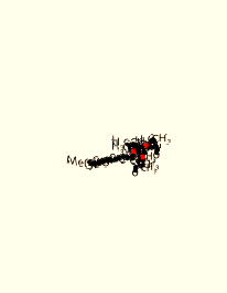 COCCOCCOCCOCCOCCOC(=O)NC1CC(C)(C)CC(C)(CC2C(=O)N(CC3(C)CC(N=C=O)CC(C)(C)C3)C(=O)N(CC3(C)CC(N=C=O)CC(C)(C)C3)C2=O)C1